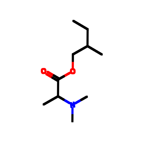 CCC(C)COC(=O)C(C)N(C)C